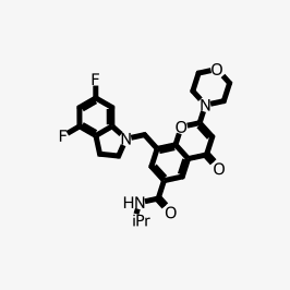 CC(C)NC(=O)c1cc(CN2CCc3c(F)cc(F)cc32)c2oc(N3CCOCC3)cc(=O)c2c1